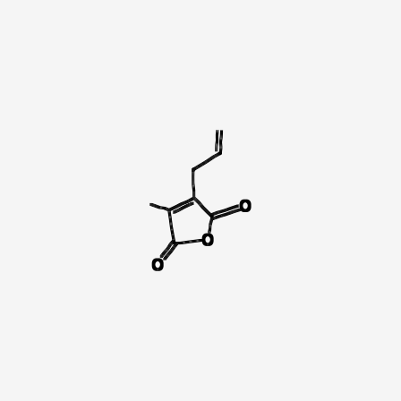 C=CCC1=C(C)C(=O)OC1=O